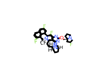 Fc1cc(-c2nc3c4c(nc(OC[C@@]56CCCN5C[C@H](F)C6)nc4c2F)N2C[C@H]4CC[C@H](N4)[C@H]2CC3)c2c(CC(F)(F)F)c(F)ccc2c1